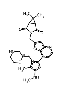 CNc1cc(-c2ccnc3cc(CN4C(=O)C5C(C4=O)C5(C)C)sc23)n(C[C@@H]2CNCCO2)c1C